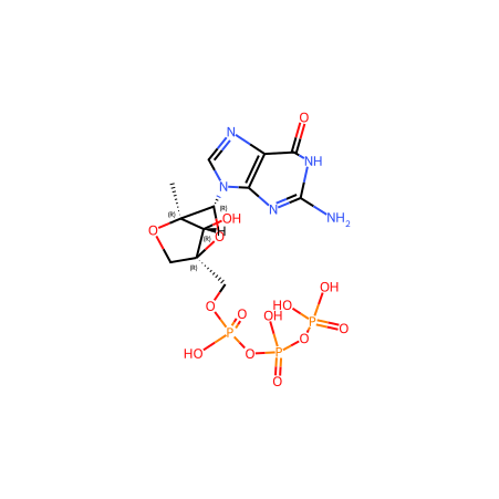 C[C@]12OC[C@](COP(=O)(O)OP(=O)(O)OP(=O)(O)O)(O[C@H]1n1cnc3c(=O)[nH]c(N)nc31)[C@H]2O